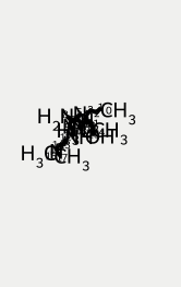 CCCCc1nc2c(N)nc(NCCCN(C)C)nc2n1CC(C)(C)O